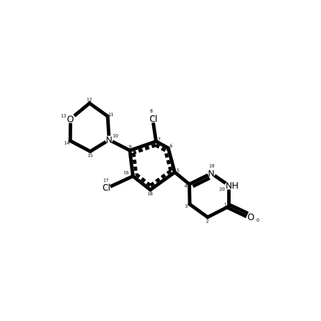 O=C1CCC(c2cc(Cl)c(N3CCOCC3)c(Cl)c2)=NN1